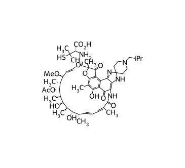 CC(C)(S)[C@@H](N)C(=O)O.CO[C@H]1/C=C/O[C@@]2(C)Oc3c(C)c(O)c4c(c3C2=O)C2=NC3(CCN(CC(C)C)CC3)NC2=C(NC(=O)/C(C)=C\C=C\[C@H](C)[C@H](O)[C@@H](C)[C@@H](O)[C@@H](C)[C@H](OC(C)=O)[C@@H]1C)C4=O